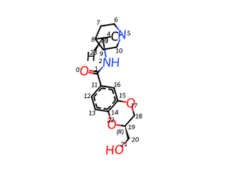 O=C(N[C@H]1CN2CCC1CC2)c1ccc2c(c1)OC[C@@H](CO)O2